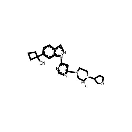 C[C@@H]1CN(c2cc(-n3ncc4ccc(C5(C#N)CCC5)cc43)ncn2)CCN1C1CCOC1